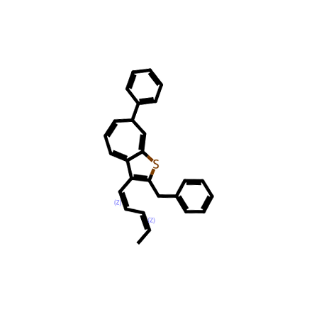 C/C=C\C=C/c1c(Cc2ccccc2)sc2c1=CC=CC(c1ccccc1)C=2